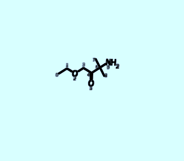 CCOCC(=O)C(C)(C)N